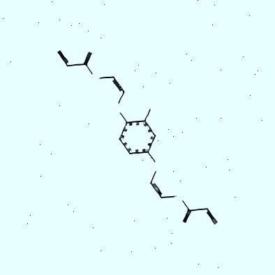 C=CC(=O)O/C=C\Oc1ccc(O/C=C\OC(=O)C=C)c(F)c1